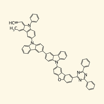 C#C/C=c1\c(=C/C)c2cc(-n3c4ccccc4c4cc(-c5ccc6c(c5)c5ccccc5n6-c5ccc6oc7ccc(-c8nc(-c9ccccc9)nc(-c9ccccc9)n8)cc7c6c5)ccc43)ccc2n1-c1ccccc1